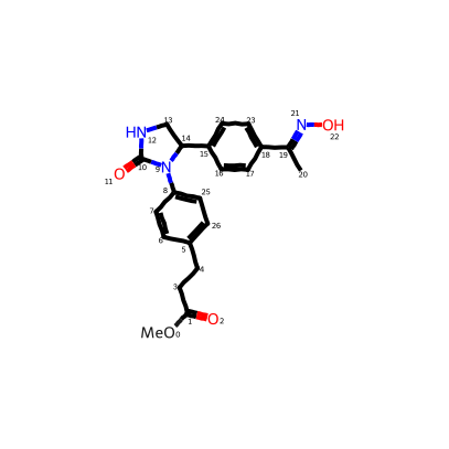 COC(=O)CCc1ccc(N2C(=O)NCC2c2ccc(C(C)=NO)cc2)cc1